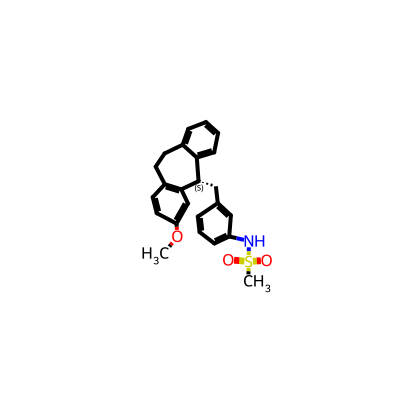 COc1ccc2c(c1)[C@@H](Cc1cccc(NS(C)(=O)=O)c1)c1ccccc1CC2